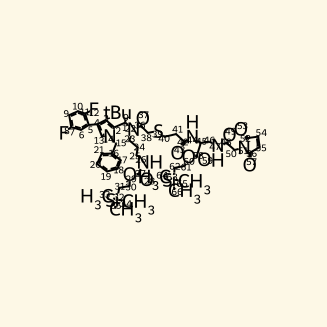 CC(C)(C)C(c1cc(-c2cc(F)ccc2F)cn1Cc1ccccc1)N(CCCNC(=O)OCC[Si](C)(C)C)C(=O)CSCCC(=O)NC(CNC(=O)CN1C(=O)C=CC1=O)C(=O)OCC[Si](C)(C)C